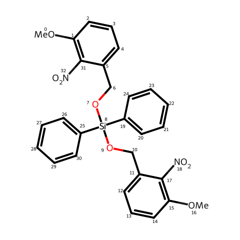 COc1cccc(CO[Si](OCc2cccc(OC)c2[N+](=O)[O-])(c2ccccc2)c2ccccc2)c1[N+](=O)[O-]